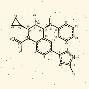 CC(=O)N1c2ccc(-c3cnn(C)c3)cc2[C@H](Nc2ccccc2)[C@@H](C)[C@@H]1C1CC1